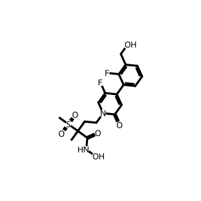 CC(CCn1cc(F)c(-c2cccc(CO)c2F)cc1=O)(C(=O)NO)S(C)(=O)=O